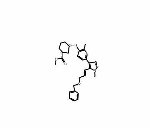 COC(=O)[C@H]1CCC[C@H](Oc2ccc(-c3nnn(C)c3/C=C/COCc3ccccc3)nc2C)C1